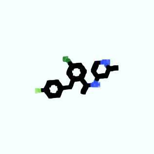 C=C1C=C(NC(=C)c2ccc(Cl)cc2Cc2ccc(F)cc2)C=CN1